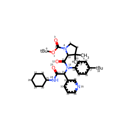 CC(C)(C)OC(=O)N1CCC(C)(C)C1C(=O)N(c1ccc(C(C)(C)C)cc1)C(C(=O)NC1CCCCC1)c1cccnc1